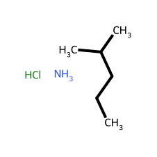 CCCC(C)C.Cl.N